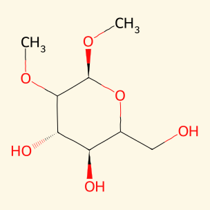 COC1[C@@H](OC)OC(CO)[C@@H](O)[C@@H]1O